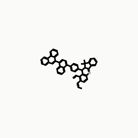 C=Cc1c(/C=C\C)ccc2c1C(c1ccc(-c3ccc(-c4cc5ccccc5c5ccccc45)c4ccccc34)cc1)C1C(=N2)c2ccccc2C1(C)C